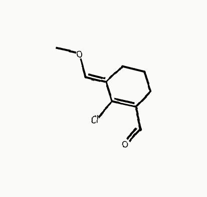 CO/C=C1\CCCC(C=O)=C1Cl